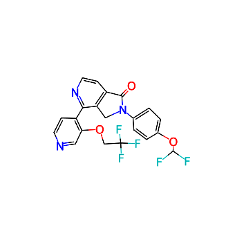 O=C1c2ccnc(-c3ccncc3OCC(F)(F)F)c2CN1c1ccc(OC(F)F)cc1